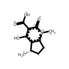 C[C@H]1CCc2c1c(O)c(C(=O)O)c(=O)n2C